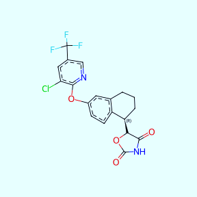 O=C1NC(=O)C([C@@H]2CCCc3cc(Oc4ncc(C(F)(F)F)cc4Cl)ccc32)O1